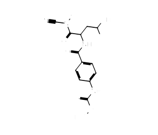 COC(=O)Nc1ccc(C(=O)NC(CC(C)C)C(=O)N(C)C#N)cc1